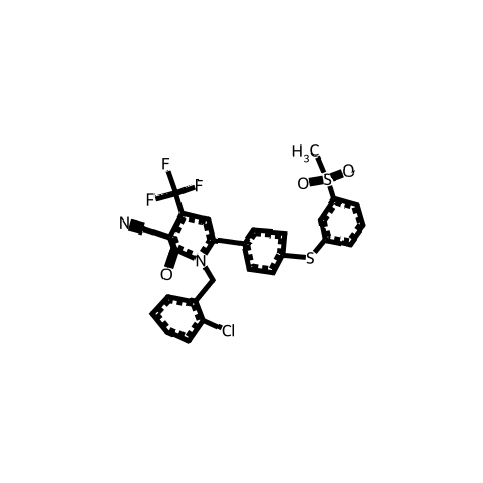 CS(=O)(=O)c1cccc(Sc2ccc(-c3cc(C(F)(F)F)c(C#N)c(=O)n3Cc3ccccc3Cl)cc2)c1